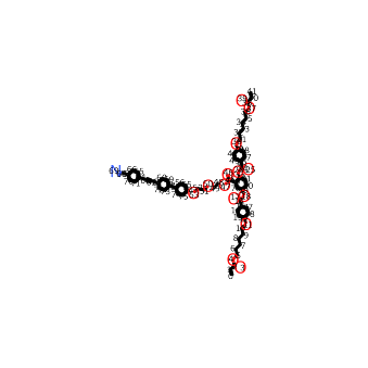 C=CC(=O)OCCCCCCOc1ccc(C(=O)Oc2ccc(OC(=O)c3ccc(OCCCCCCOC(=O)C=C)cc3)c(C(=O)OCCOCCOc3ccc(-c4ccc(C#Cc5ccc(C#N)cc5)cc4)cc3)c2)cc1